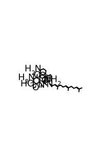 CO[C@H]1[C@@H](O)[C@H](N)C(O[C@H]2O[C@H](C(C)N)CC[C@H]2N)[C@H](O)[C@@H]1N(C)C(=O)CN=C/C=C(\C)CC/C=C(\C)CCC=C(C)C